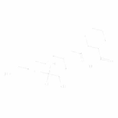 CCCCCCC(CC(C)C(C)(C)C)OC(=O)C1CCCCC1C(=O)O